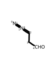 [N-]=[N+]=CCC=O